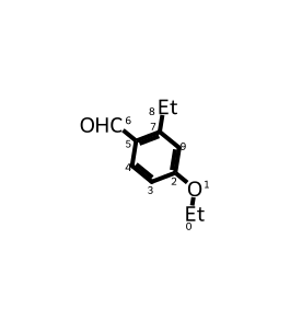 CCOc1ccc(C=O)c(CC)c1